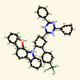 FC(F)(F)c1ccc(-c2cc(-c3nc(-c4ccccc4)nc(-c4ccccc4)n3)ccc2-n2c3ccccc3c3ccc4c5ccccc5oc4c32)cc1